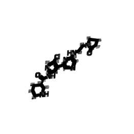 O=C(Nc1cc(-c2cncc(NCCN3CCCC3=O)n2)c(Cl)cn1)[C@@H]1CCCNC1